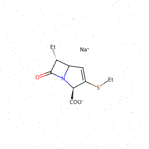 CCSC1=CC2[C@@H](CC)C(=O)N2[C@@H]1C(=O)[O-].[Na+]